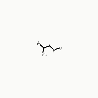 CCOCC(C)[C](C)C